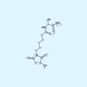 CC(C)C(NC(=O)CCCCCN1C(=O)CC(S)C1=O)C(N)=O